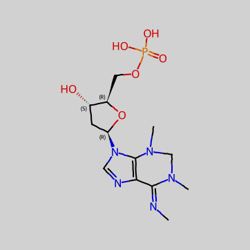 CN=C1c2ncn([C@H]3C[C@H](O)[C@@H](COP(=O)(O)O)O3)c2N(C)CN1C